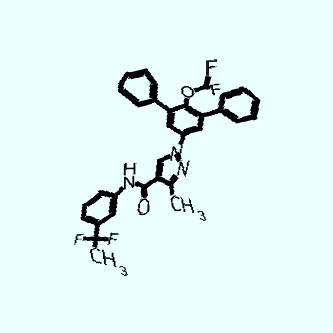 Cc1nn(-c2cc(-c3ccccc3)c(OC(F)F)c(-c3ccccc3)c2)cc1C(=O)Nc1cccc(C(C)(F)F)c1